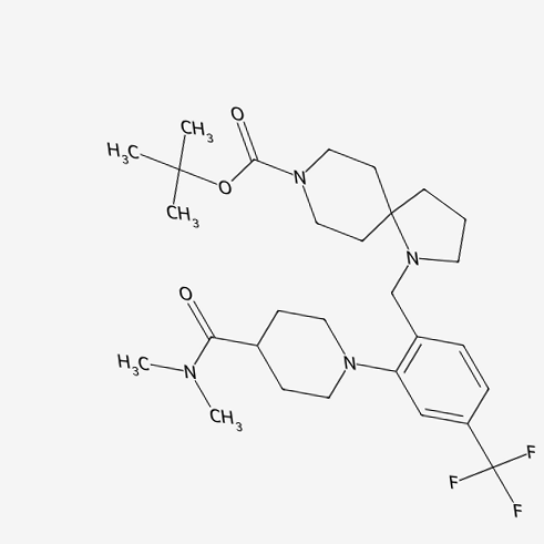 CN(C)C(=O)C1CCN(c2cc(C(F)(F)F)ccc2CN2CCCC23CCN(C(=O)OC(C)(C)C)CC3)CC1